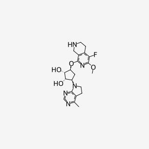 COc1nc(O[C@H]2C[C@@H](N3CCc4c(C)ncnc43)[C@H](O)[C@@H]2O)c2c(c1F)CCNC2